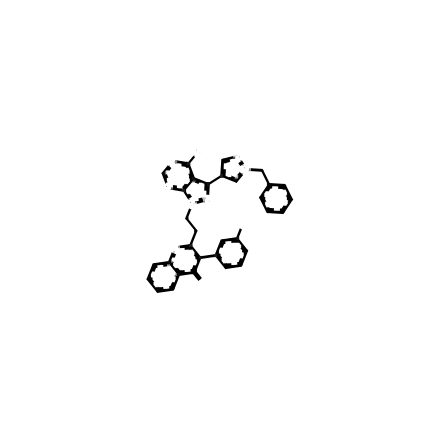 Nc1ncnc2c1c(-c1cnn(Cc3ccccc3)c1)nn2CCc1oc2ccccc2c(=O)c1-c1cccc(F)c1